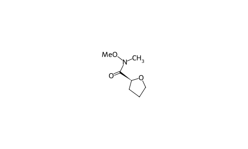 CON(C)C(=O)[C@@H]1CCCO1